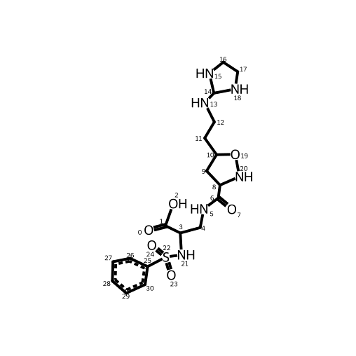 O=C(O)C(CNC(=O)C1CC(CCNC2NCCN2)ON1)NS(=O)(=O)c1ccccc1